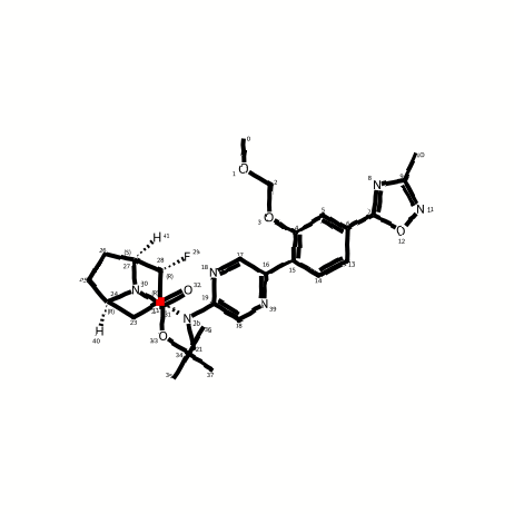 COCOc1cc(-c2nc(C)no2)ccc1-c1cnc(N(C)[C@@H]2C[C@H]3CC[C@@H]([C@@H]2F)N3C(=O)OC(C)(C)C)cn1